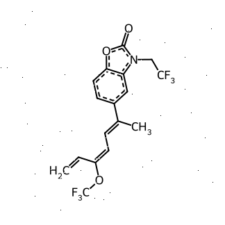 C=C/C(=C\C=C(/C)c1ccc2oc(=O)n(CC(F)(F)F)c2c1)OC(F)(F)F